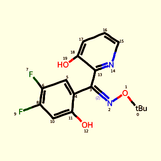 CC(C)(C)O/N=C(/c1cc(F)c(F)cc1O)c1ncccc1O